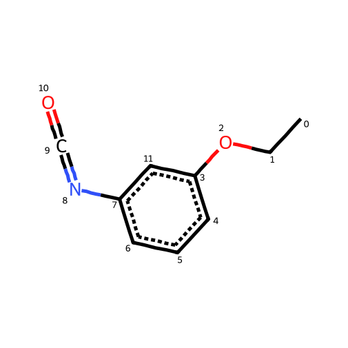 CCOc1cccc(N=C=O)c1